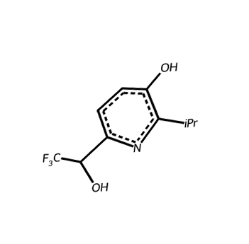 CC(C)c1nc(C(O)C(F)(F)F)ccc1O